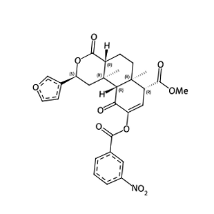 COC(=O)[C@@H]1C=C(OC(=O)c2cccc([N+](=O)[O-])c2)C(=O)[C@H]2[C@@]1(C)CC[C@H]1C(=O)O[C@H](c3ccoc3)C[C@]21C